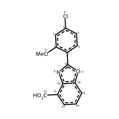 COc1cc(Cl)ccc1-c1nc2c(C(=O)O)cccc2o1